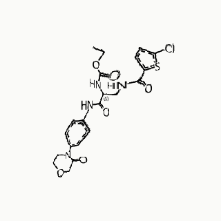 CCOC(=O)N[C@@H](CNC(=O)c1ccc(Cl)s1)C(=O)Nc1ccc(N2CCOCC2=O)cc1